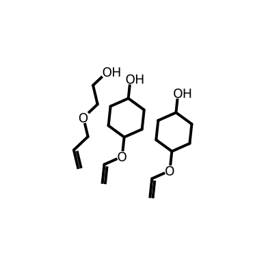 C=CCOCCO.C=COC1CCC(O)CC1.C=COC1CCC(O)CC1